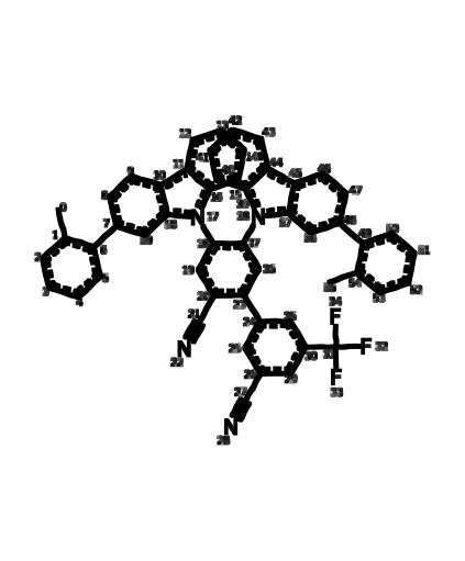 Cc1ccccc1-c1ccc2c3ccccc3n(-c3cc(C#N)c(-c4cc(C#N)cc(C(F)(F)F)c4)cc3-n3c4ccccc4c4ccc(-c5ccccc5C)cc43)c2c1